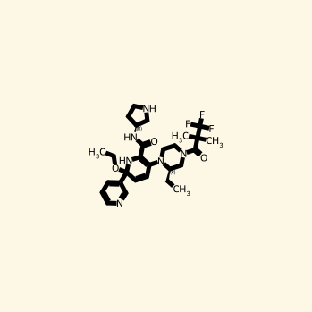 CCOC1(c2cccnc2)C=CC(N2CCN(C(=O)C(C)(C)C(F)(F)F)C[C@H]2CC)=C(C(=O)N[C@@H]2CCNC2)N1